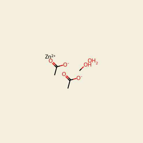 CC(=O)[O-].CC(=O)[O-].CO.O.[Zn+2]